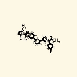 Cc1ccc(C)n1-c1nc2cc(-c3nccc(-c4cnn(C(c5ccc(F)cc5)C(C)F)c4)n3)ccn2n1